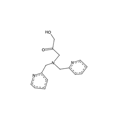 O=C(CO)CN(Cc1ccccn1)Cc1ccccn1